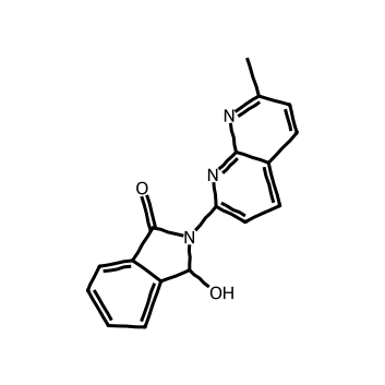 Cc1ccc2ccc(N3C(=O)c4ccccc4C3O)nc2n1